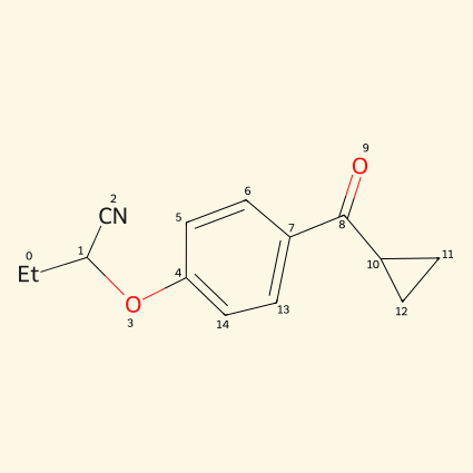 CCC(C#N)Oc1ccc(C(=O)C2CC2)cc1